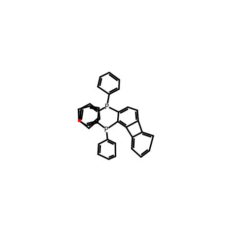 c1ccc(P(c2ccccc2)c2ccc3c(c2P(c2ccccc2)c2ccccc2)-c2ccccc2-3)cc1